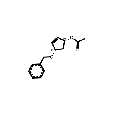 CC(=O)O[C@H]1C=C[C@@H](OCc2ccccc2)C1